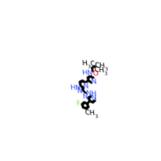 Cc1cc(F)cc(-c2ccnc3[nH]c(-c4n[nH]c5ccc(-c6cncc(NC(=O)CC(C)(C)C)c6)nc45)nc23)c1